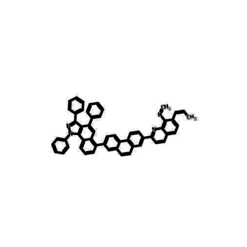 C=Nc1c(/C=C\C)ccc2ccc(-c3ccc4c(ccc5cc(-c6cccc7c6cc(-c6ccccc6)c6c(-c8ccccc8)nn(-c8ccccc8)c67)ccc54)c3)nc12